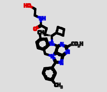 Cc1ccc(Cn2c(-c3cccc(C)c3)nc3nc(C(=O)O)nc(N[C@H](CCC(=O)NCCO)C4CCC4)c32)cc1